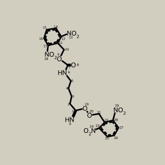 N=C(CCCCNC(=O)OCc1c([N+](=O)[O-])cccc1[N+](=O)[O-])OOCc1c([N+](=O)[O-])cccc1[N+](=O)[O-]